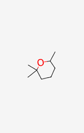 CC1CCCC(C)(C)O1